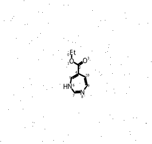 CCOC(=O)C1=CNC=NC=C1